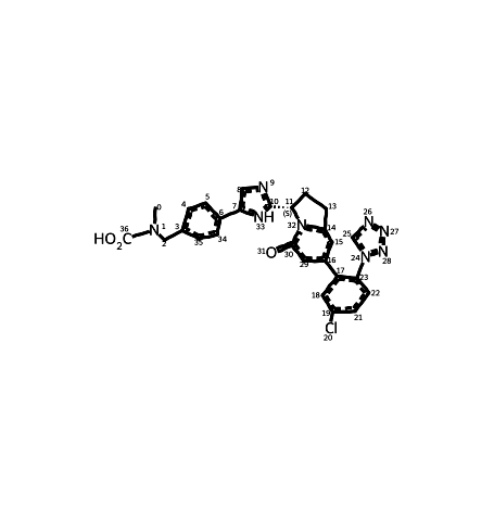 CN(Cc1ccc(-c2cnc([C@@H]3CCc4cc(-c5cc(Cl)ccc5-n5cnnn5)cc(=O)n43)[nH]2)cc1)C(=O)O